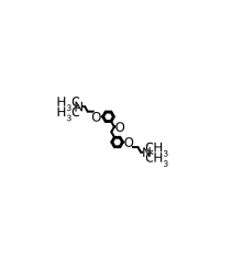 CN(C)CCCOc1cccc(CC(=O)c2cccc(OCCCN(C)C)c2)c1